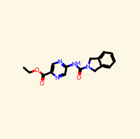 CCOC(=O)c1cnc(NC(=O)N2Cc3ccccc3C2)cn1